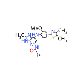 COc1cc(-c2nc(C)c(C)s2)ccc1Nc1cc(NC(=O)C2CC2)nc2[nH]c(C)nc12